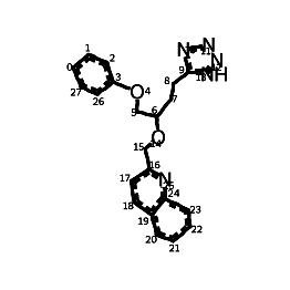 c1ccc(OCC(CCc2nnn[nH]2)OCc2ccc3ccccc3n2)cc1